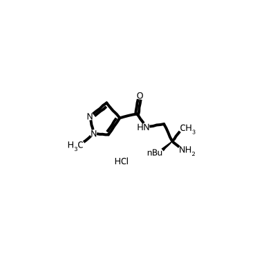 CCCC[C@@](C)(N)CNC(=O)c1cnn(C)c1.Cl